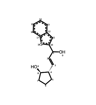 OC(/C=C/[C@@H]1CCC[C@H]1O)c1cc2ccccc2s1